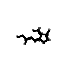 CC/C(C)=C/C=C1/SN=C(C)/C1=N/C